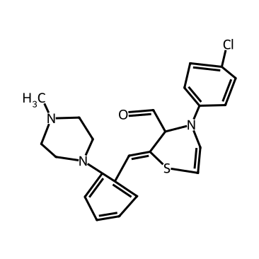 CN1CCN(c2ccccc2C=C2SC=CN(c3ccc(Cl)cc3)C2C=O)CC1